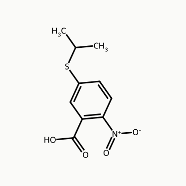 CC(C)Sc1ccc([N+](=O)[O-])c(C(=O)O)c1